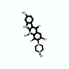 CCc1cc2c(=O)c3c4ccc(C#N)cc4[nH]c3n(C(C)C)c2c(F)c1N1CCN(C(C)C)CC1